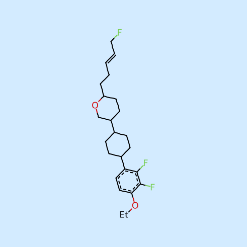 CCOc1ccc(C2CCC(C3CCC(CC/C=C/CF)OC3)CC2)c(F)c1F